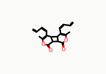 C=C/C=C\C1=C(C)OC(=O)C2C3C(=O)OC(C)=C(/C=C\C=C)C3C12